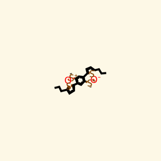 CCCc1ccc(-c2cc([S+](C)[O-])c(-c3ccc(CCC)s3)cc2[S+](C)[O-])s1